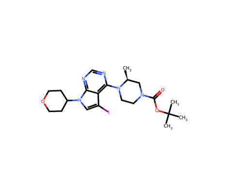 C[C@H]1CN(C(=O)OC(C)(C)C)CCN1c1ncnc2c1c(I)cn2C1CCOCC1